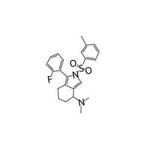 Cc1cccc(S(=O)(=O)n2cc3c(c2-c2ccccc2F)CCCC3N(C)C)c1